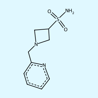 NS(=O)(=O)C1CN(Cc2ccccn2)C1